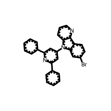 Brc1ccc2c3ncccc3n(-c3cc(-c4ccccc4)nc(-c4ccccc4)c3)c2c1